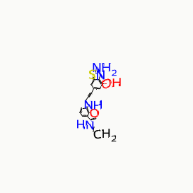 C=CCNc1coc2c(NCC#Cc3cc(O)c4nc(N)sc4c3)cccc12